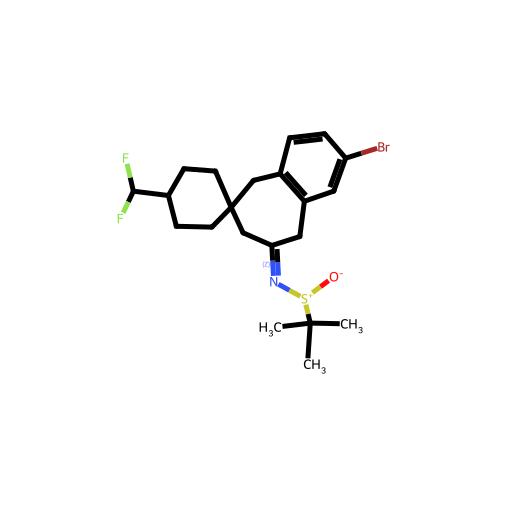 CC(C)(C)[S+]([O-])/N=C1\Cc2cc(Br)ccc2CC2(CCC(C(F)F)CC2)C1